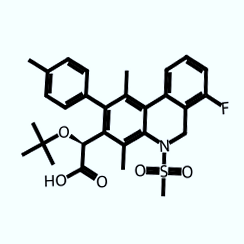 Cc1ccc(-c2c(C)c3c(c(C)c2[C@H](OC(C)(C)C)C(=O)O)N(S(C)(=O)=O)Cc2c(F)cccc2-3)cc1